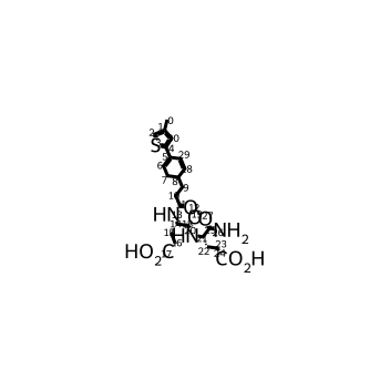 Cc1csc(C2=CCC(CCC(=O)N[C@@H](CCC(=O)O)C(=O)N[C@@H](CCC(=O)O)C(N)=O)C=C2)c1